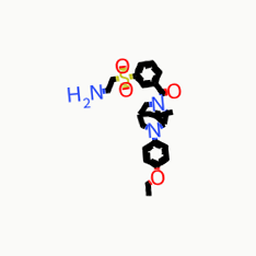 CCOc1ccc(N2CC3CN(C(=O)c4cccc(S(=O)(=O)CCN)c4)CC2C(C)(C)C3)cc1